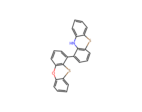 c1ccc2c(c1)Nc1c(cccc1-c1cccc3c1Sc1ccccc1O3)S2